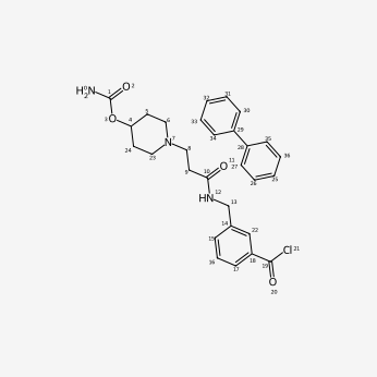 NC(=O)OC1CCN(CCC(=O)NCc2cccc(C(=O)Cl)c2)CC1.c1ccc(-c2ccccc2)cc1